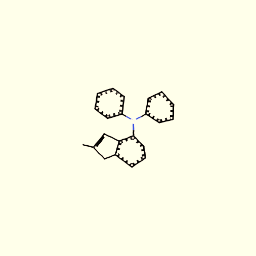 CC1=Cc2c(cccc2N(c2ccccc2)c2ccccc2)C1